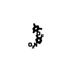 Cc1cc(C)c(OCc2cc([N+](=O)[O-])ccc2F)c(C)c1